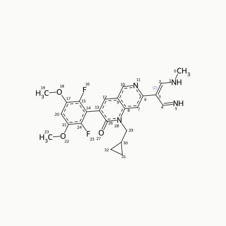 CN/C=C(\C=N)c1cc2c(cn1)cc(-c1c(F)c(OC)cc(OC)c1F)c(=O)n2CC1CC1